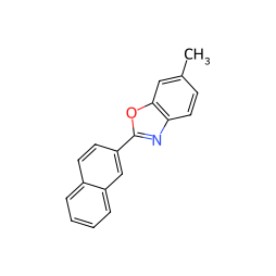 Cc1ccc2nc(-c3ccc4ccccc4c3)oc2c1